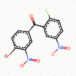 O=C(c1ccc(Br)c([N+](=O)[O-])c1)c1cc([N+](=O)[O-])ccc1F